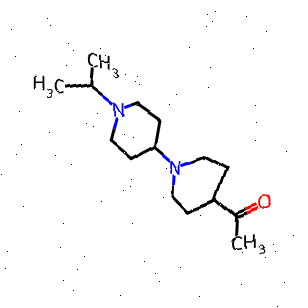 CC(=O)C1CCN(C2CCN(C(C)C)CC2)CC1